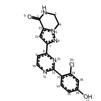 O=C1NCCn2nc(-c3ccnc(-c4ccc(O)cc4Cl)n3)cc21